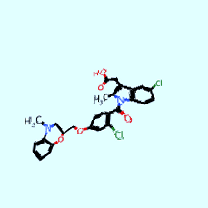 Cc1c(CC(=O)O)c2cc(Cl)ccc2n1C(=O)c1ccc(OC[C@@H]2CN(C)c3ccccc3O2)cc1Cl